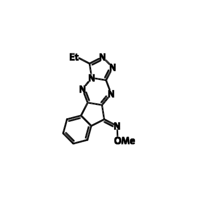 CCc1nnc2nc3c(nn12)-c1ccccc1C3=NOC